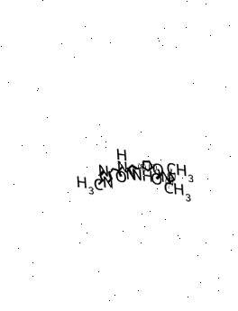 Cc1cnc(CC(=O)Nc2cc([C@H]3CC[C@@H](OC(=O)N4[C@@H](C)C[C@@H]4C)C3)[nH]n2)cn1